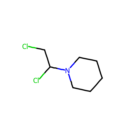 ClCC(Cl)N1CCCCC1